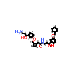 NCCC(O)c1cccc(OCC2CCC2CC(=O)NCCC(O)c2cccc(OCC3CCCCC3)c2)c1